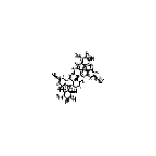 [2H]c1c([2H])c(N(c2ccc(C#N)cc2)c2ccc3ccc4c(N(c5ccc([N+]#[C-])cc5)c5c([2H])c([2H])c(F)c([2H])c5[2H])ccc5ccc2c3c54)c([2H])c([2H])c1F